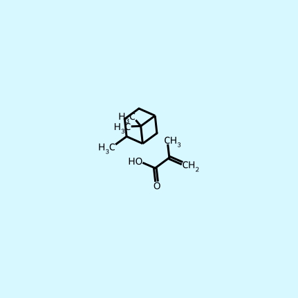 C=C(C)C(=O)O.CC1CCC2CC1C2(C)C